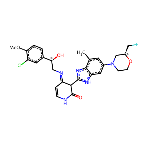 COc1ccc([C@@H](O)CN=C2C=CNC(=O)C2c2nc3c(C)cc(N4CCO[C@H](CF)C4)cc3[nH]2)cc1Cl